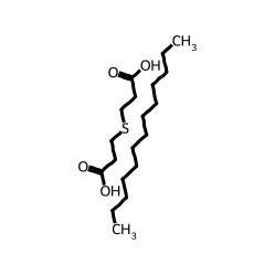 CCCCCCCCCCCCC.O=C(O)CCSCCC(=O)O